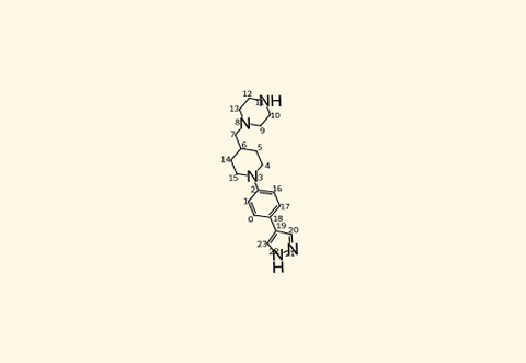 c1cc(N2CCC(CN3CCNCC3)CC2)ccc1-c1cn[nH]c1